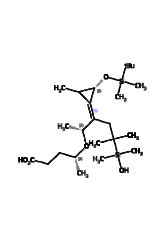 CC1/C(=C(/CC(C)(C)[Si](C)(C)O)[C@@H](C)O[C@H](C)CCC(=O)O)[C@H]1O[Si](C)(C)C(C)(C)C